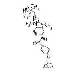 Cc1c(CNCC(C)(C)O)n(C)c2ccc(NC(=O)c3ccc(OC[C@@H]4CCCO4)cc3)cc12